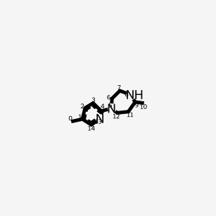 Cc1ccc(N2CCNC(C)CC2)nc1